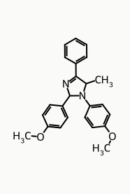 COc1ccc(C2N=C(c3ccccc3)C(C)N2c2ccc(OC)cc2)cc1